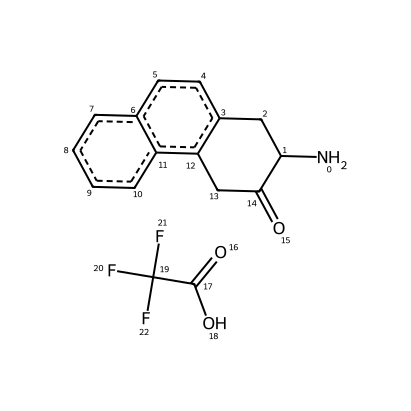 NC1Cc2ccc3ccccc3c2CC1=O.O=C(O)C(F)(F)F